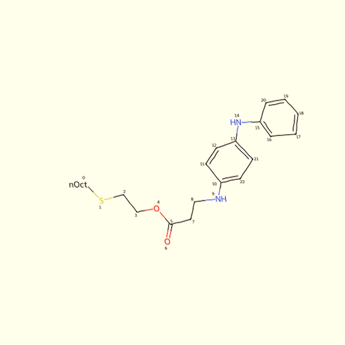 CCCCCCCCSCCOC(=O)CCNc1ccc(Nc2ccccc2)cc1